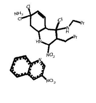 CC(C)CNC1(Cl)C2C=CC(Cl)(Cl)CC2NC([N+](=O)[O-])C1CC(C)C.N.O=[N+]([O-])c1cnc2ccccc2c1